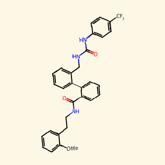 COc1ccccc1CCNC(=O)c1ccccc1-c1ccccc1CNC(=O)Nc1ccc(C(F)(F)F)cc1